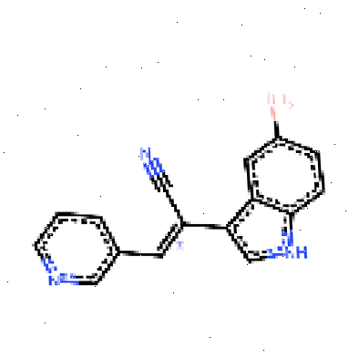 Bc1ccc2[nH]cc(/C(C#N)=C/c3cccnc3)c2c1